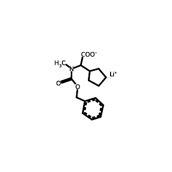 CN(C(=O)OCc1ccccc1)C(C(=O)[O-])C1CCCC1.[Li+]